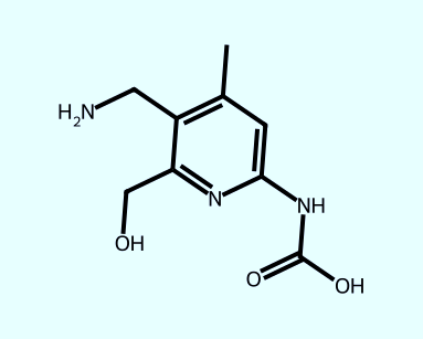 Cc1cc(NC(=O)O)nc(CO)c1CN